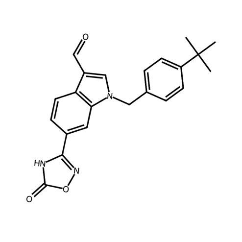 CC(C)(C)c1ccc(Cn2cc(C=O)c3ccc(-c4noc(=O)[nH]4)cc32)cc1